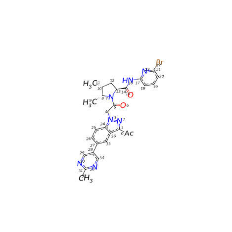 CC(=O)c1nn(CC(=O)N2[C@H](C)[C@H](C)C[C@H]2C(=O)Nc2cccc(Br)n2)c2ccc(-c3cnc(C)nc3)cc12